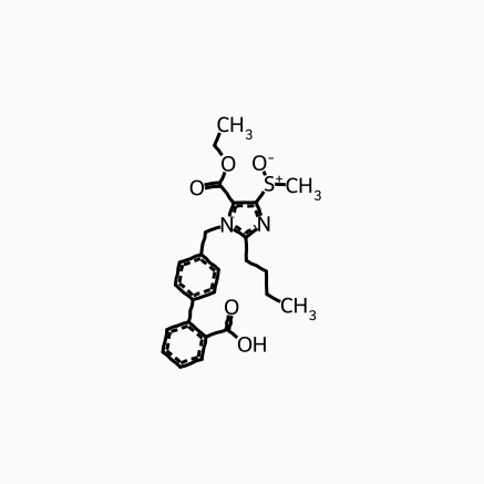 CCCCc1nc([S+](C)[O-])c(C(=O)OCC)n1Cc1ccc(-c2ccccc2C(=O)O)cc1